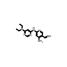 CCN(CC)c1cc(Nc2cc(N)c(C=N)cn2)ncn1